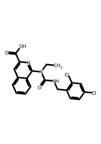 CCN(C(=O)NCc1ccc(Cl)cc1Cl)c1nc(C(=O)O)cc2ccccc12